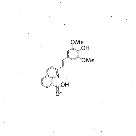 COc1cc(/C=C/c2ccc3cccc([NH+]([O-])O)c3n2)cc(OC)c1O